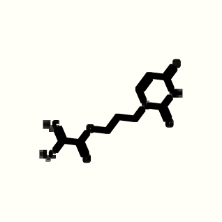 C=C(C)C(=O)OCCCn1ccc(=O)[nH]c1=O